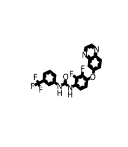 O=C(Nc1cccc(C(F)(F)F)c1)Nc1ccc(Oc2ccc3nccnc3c2)c(F)c1F